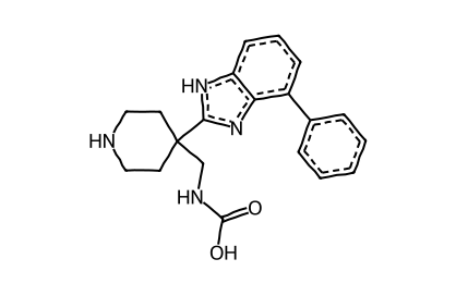 O=C(O)NCC1(c2nc3c(-c4ccccc4)cccc3[nH]2)CCNCC1